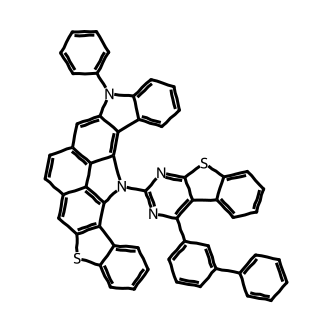 c1ccc(-c2cccc(-c3nc(-n4c5c6c(cc7ccc8cc9c(c%10ccccc%10n9-c9ccccc9)c4c8c75)sc4ccccc46)nc4sc5ccccc5c34)c2)cc1